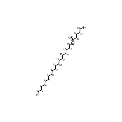 CCCCCCCCCCCCCCCCCCCCOC(=O)CCCCI